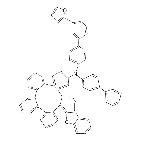 c1ccc(-c2ccc(N(c3ccc(-c4cccc(-c5ccco5)c4)cc3)c3ccc4c5ccccc5c5ccccc5c5ccccc5c5c(ccc6c7ccccc7oc65)c4c3)cc2)cc1